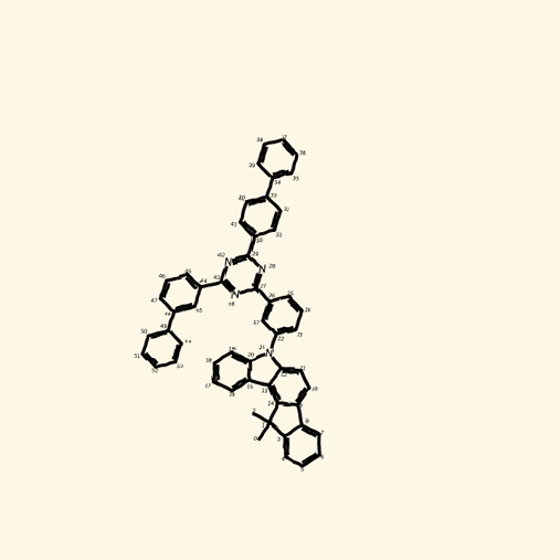 CC1(C)c2ccccc2-c2ccc3c(c21)c1ccccc1n3-c1cccc(-c2nc(-c3ccc(-c4ccccc4)cc3)nc(-c3cccc(-c4ccccc4)c3)n2)c1